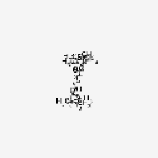 CC1(C)CC(OC(=O)CCCCC(=O)OC2CC(C)(C)SC(C)(C)C2)CC(C)(C)S1